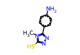 Cn1c(S)nnc1-c1ccc(N)cc1